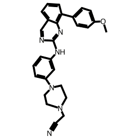 COc1ccc(-c2cccc3cnc(Nc4cccc(N5CCN(CC#N)CC5)c4)nc23)cc1